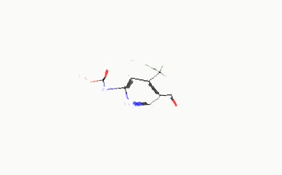 COC(=O)Nc1cc(C(F)(F)F)c(C=O)cn1